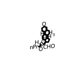 CCCC(=O)OC(C=O)=C1CC[C@H]2[C@@H]3CCC4=CC(=O)CC[C@]4(C)[C@H]3CC[C@]12C